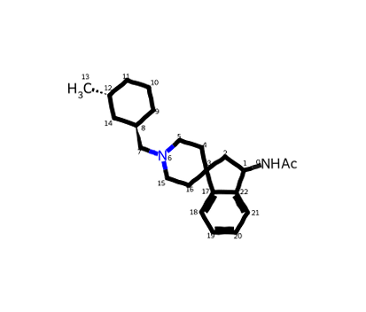 CC(=O)NC1CC2(CCN(C[C@@H]3CCC[C@@H](C)C3)CC2)c2ccccc21